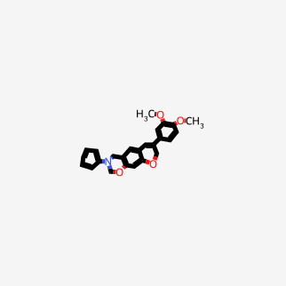 COc1ccc(C2=Cc3cc4c(cc3OC2)OCN(c2ccccc2)C4)cc1OC